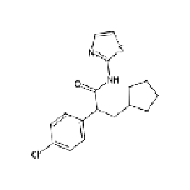 O=C(Nc1nccs1)C(CC1CCCC1)c1ccc(Cl)cc1